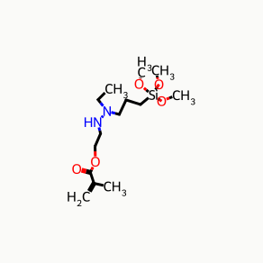 C=C(C)C(=O)OCCNN(CC)CCC[Si](OC)(OC)OC